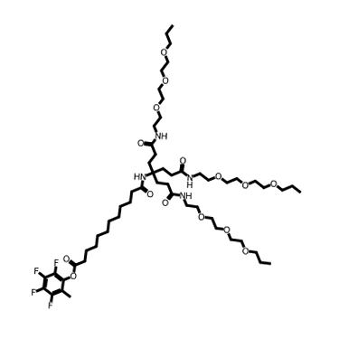 CCCOCCOCCOCCNC(=O)CCC(CCC(=O)NCCOCCOCCOCCC)(CCC(=O)NCCOCCOCCOCCC)NC(=O)CCCCCCCCCCC(=O)Oc1c(C)c(F)c(F)c(F)c1F